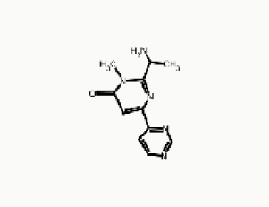 CC(N)c1nc(-c2ccncn2)cc(=O)n1C